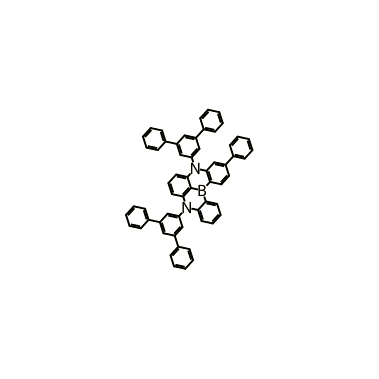 c1ccc(-c2cc(-c3ccccc3)cc(N3c4ccccc4B4c5ccc(-c6ccccc6)cc5N(c5cc(-c6ccccc6)cc(-c6ccccc6)c5)c5cccc3c54)c2)cc1